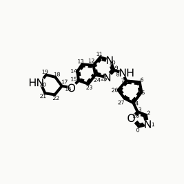 c1ncc(-c2ccc(Nc3ncc4ccc(OC5CCNCC5)cc4n3)cc2)o1